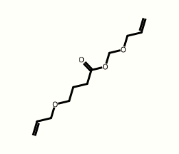 C=CCOCCCC(=O)OCOCC=C